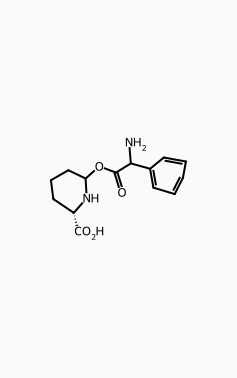 NC(C(=O)OC1CCC[C@@H](C(=O)O)N1)c1ccccc1